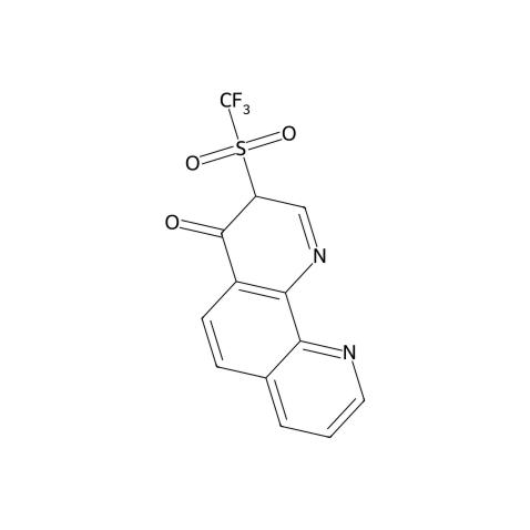 O=C1c2ccc3cccnc3c2N=CC1S(=O)(=O)C(F)(F)F